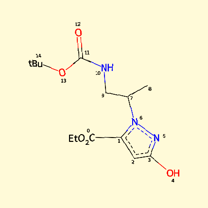 CCOC(=O)c1cc(O)nn1C(C)CNC(=O)OC(C)(C)C